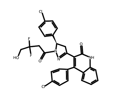 O=C(CC(F)(F)CO)N1N=C(c2c(-c3ccc(Cl)cc3)c3ccccc3[nH]c2=O)C[C@@H]1c1ccc(Cl)cc1